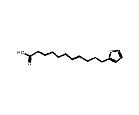 O=C(O)CCCCCCCCCCc1ccco1